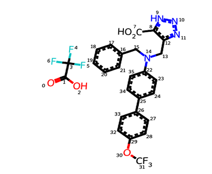 O=C(O)C(F)(F)F.O=C(O)c1[nH]nnc1CN(Cc1ccccc1)c1ccc(-c2ccc(OC(F)(F)F)cc2)cc1